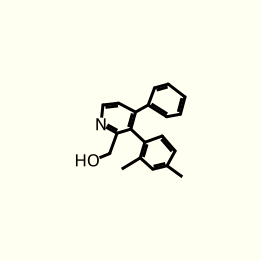 Cc1ccc(-c2c(-c3ccccc3)ccnc2CO)c(C)c1